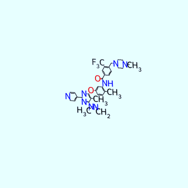 C=NN(C)c1nc(-c2ccncc2)nc(Oc2ccc(C)c(NC(=O)c3ccc(CN4CCN(C)CC4)c(C(F)(F)F)c3)c2)c1C